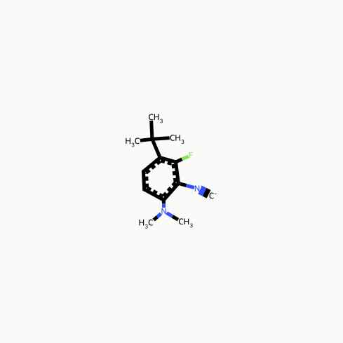 [C-]#[N+]c1c(N(C)C)ccc(C(C)(C)C)c1F